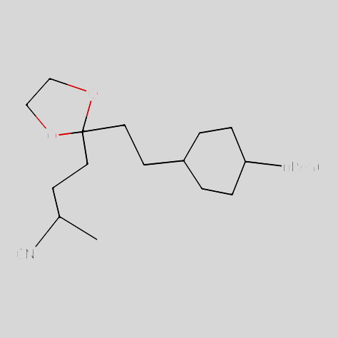 [C-]#[N+]C(C)CCC1(CCC2CCC(CCCCC)CC2)OCCO1